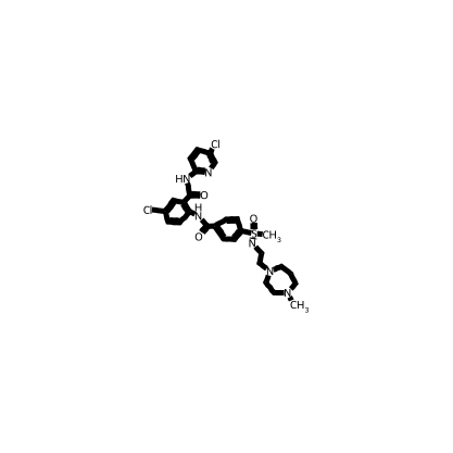 CN1CCCN(CCN=S(C)(=O)c2ccc(C(=O)Nc3ccc(Cl)cc3C(=O)Nc3ccc(Cl)cn3)cc2)CC1